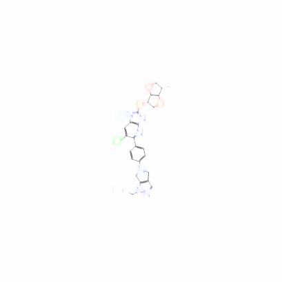 C[C@@H]1COC2C1OC[C@H]2Oc1nc2nc(-c3ccc(N4Cc5cnn(CC(F)(F)F)c5C4)cc3)c(Cl)cc2[nH]1